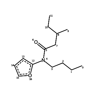 CCCCN(C(=O)CC(C)CC)c1ccco1